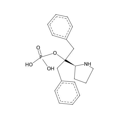 O=P(O)(O)OC(Cc1ccccc1)(Cc1ccccc1)[C@@H]1CCCN1